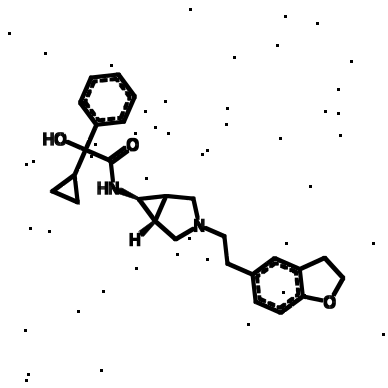 O=C(N[C@H]1C2CN(CCc3ccc4c(c3)CCO4)C[C@@H]21)C(O)(c1ccccc1)C1CC1